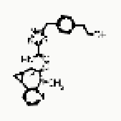 CN1C(=O)[C@@H](NC(=O)c2nnc(Cc3ccc(CCO)cc3)s2)C2CC2c2cccnc21